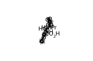 CC(C)C(NC[C@@H](O)[C@H](Cc1ccc(OCc2ccccc2)cc1)NC(=O)O)S(=O)(=O)c1ccc2c(c1)OCO2